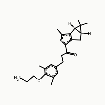 Cc1cc(CCC(=O)c2sc(C)c3c2C[C@@H]2[C@H]3C2(C)C)cc(C)c1OCCN